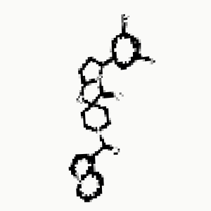 O=C(c1ccn2ccccc12)N1CCC2(CC1)OC1CCC(c3cc(F)cc(F)c3)N1C2=O